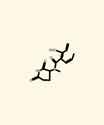 C=C/C(C=O)=C(\C=C/C)C(=O)N(C)C1CCC(=O)NC1=O